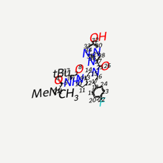 CN[C@@H](C)C(=O)N[C@H](C(=O)N1CCCC1CN(CCc1ccc(F)cc1)C(=O)c1cn2cc(O)cnc2n1)C(C)(C)C